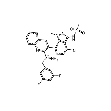 Cn1nc(NS(C)(=O)=O)c2c(Cl)ccc(-c3cc4ccccc4nc3[C@@H](N)Cc3cc(F)cc(F)c3)c21